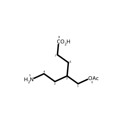 CC(=O)OCC(CCN)CCC(=O)O